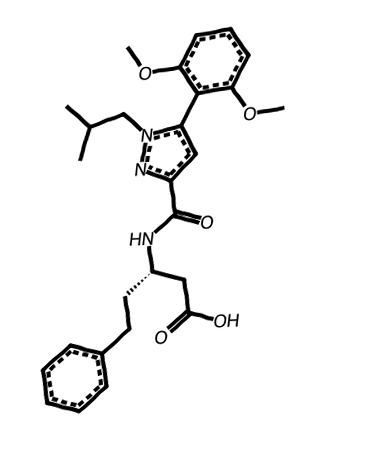 COc1cccc(OC)c1-c1cc(C(=O)N[C@@H](CCc2ccccc2)CC(=O)O)nn1CC(C)C